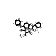 CCCC(=O)N[C@@H](C)[C@H](Oc1ccc(Nc2ccc(F)cc2)c(C=N)c1)c1ccccc1